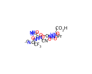 CC(C)[C@H](NC(=O)CCCC(=O)O)C(=O)N[C@@H](C)C(=O)Nc1ccc(COC(=O)N(CCC#N)c2cc(C3(Cc4nncn4C)COC3)cc(N3Cc4c(cc(CN5CCC[C@H](C)C5)cc4C(F)(F)F)C3=O)n2)cc1